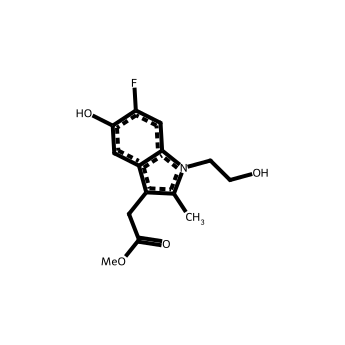 COC(=O)Cc1c(C)n(CCO)c2cc(F)c(O)cc12